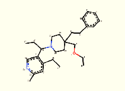 CCOCC1(CCc2ccccc2)CCN(C(CC)c2cnc(C)cc2CC)CC1